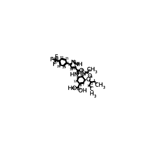 CCC(CC)O[C@@H]1C=C(C(O)O)C[C@H](NC(=O)c2cc(-c3ccc(C(F)(F)F)cc3)n[nH]2)[C@H]1NC(C)=O